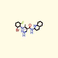 C/C(Nc1c(F)cccc1Br)=C(/C=N)C(=O)Nc1ccc2ccccc2n1